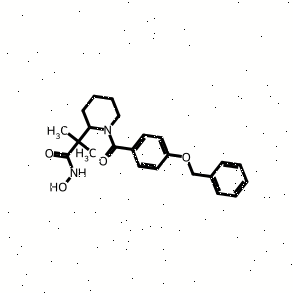 CC(C)(C(=O)NO)C1CCCCN1C(=O)c1ccc(OCc2ccccc2)cc1